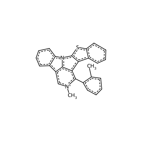 Cc1ccccc1-c1c2c3c4ccccc4sc3n3c4ccccc4c(c[n+]1C)c23